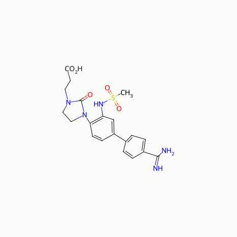 CS(=O)(=O)Nc1cc(-c2ccc(C(=N)N)cc2)ccc1N1CCN(CCC(=O)O)C1=O